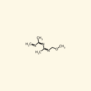 C=N/C(C)=N\C(C)=N/COC